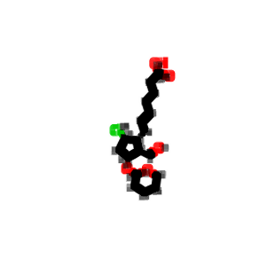 O=C[C@@H]1[C@@H](CC=CCCCC(=O)O)[C@H](Cl)C[C@H]1OC1CCCCO1